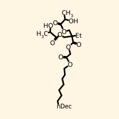 CCCCCCCCCCCCCCCCCOC(=O)COC(=O)C(CC)(COC(=O)C(C)O)COC(=O)C(C)O